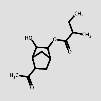 CCC(C)C(=O)OC1C2CC(C(C)=O)C(C2)C1O